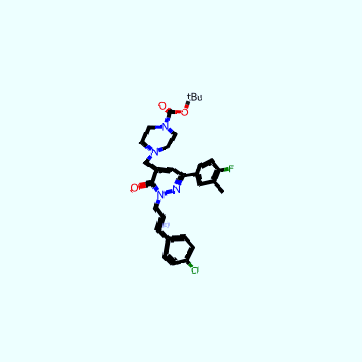 Cc1cc(-c2cc(CN3CCN(C(=O)OC(C)(C)C)CC3)c(=O)n(C/C=C/c3ccc(Cl)cc3)n2)ccc1F